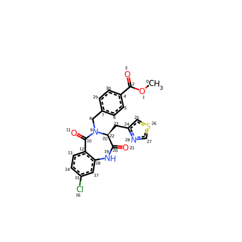 COC(=O)c1ccc(CN2C(=O)c3ccc(Cl)cc3NC(=O)[C@@H]2Cc2cscn2)cc1